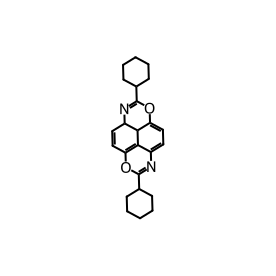 C1=CC2N=C(C3CCCCC3)OC3=CC=C4N=C(C5CCCCC5)OC1=C4C32